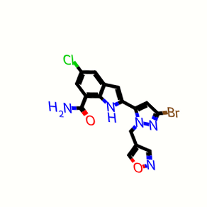 NC(=O)c1cc(Cl)cc2cc(-c3cc(Br)nn3Cc3cnoc3)[nH]c12